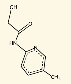 Cc1ccc(NC(=O)CO)nc1